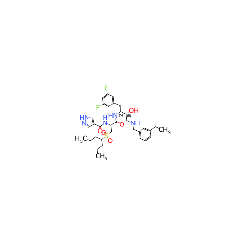 CCCC(CCC)S(=O)(=O)CC(NC(=O)c1cn[nH]c1)C(=O)N[C@@H](Cc1cc(F)cc(F)c1)[C@H](O)CNCc1cccc(CC)c1